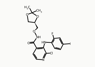 CC1(C)OC[C@H](CONC(=O)c2ccnc(Cl)c2Nc2ccc(I)cc2F)O1